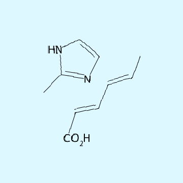 CC=CC=CC(=O)O.Cc1ncc[nH]1